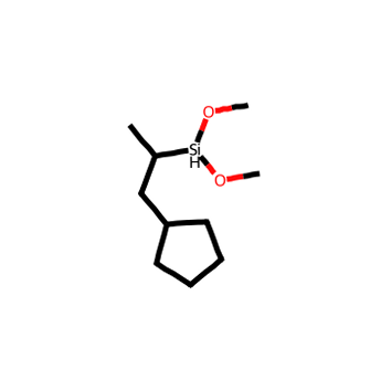 CO[SiH](OC)C(C)CC1CCCC1